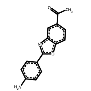 CC(=O)c1ccc2oc(-c3ccc(N)cc3)nc2c1